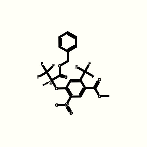 COC(=O)c1cc([N+](=O)[O-])c(O[C@](C)(C(=O)OCc2ccccc2)C(F)(F)F)cc1C(F)(F)F